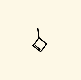 C[C]1[CH]C=C1